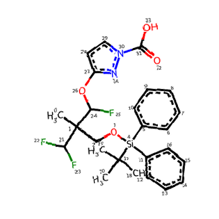 CC(CO[Si](c1ccccc1)(c1ccccc1)C(C)(C)C)(C(F)F)C(F)Oc1ccn(C(=O)O)n1